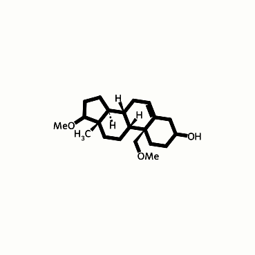 COC[C@]12CCC(O)CC1=CC[C@@H]1[C@H]2CC[C@]2(C)C(OC)CC[C@@H]12